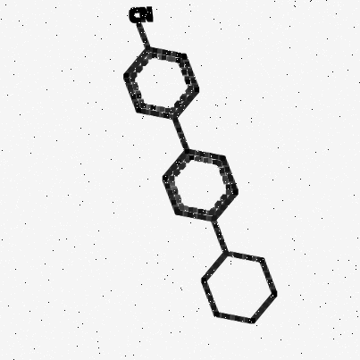 N#Cc1ccc(-c2ccc(C3CCCCC3)cc2)cc1